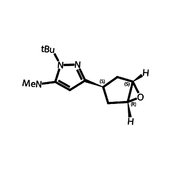 CNc1cc([C@H]2C[C@@H]3O[C@@H]3C2)nn1C(C)(C)C